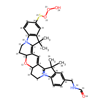 CC1(C)C2=C3C=C4C5=[N+](CCC4OC3CCN2c2ccc(SOOO)cc21)c1ccc(CNC=O)cc1C5(C)C